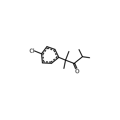 CC(C)C(=O)C(C)(C)c1ccc(Cl)cc1